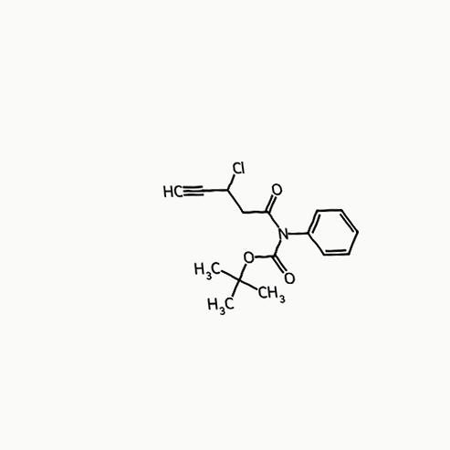 C#CC(Cl)CC(=O)N(C(=O)OC(C)(C)C)c1ccccc1